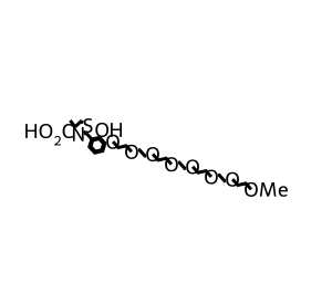 COCCOCCOCCOCCOCCOCCOCCOc1cccc(C2=N[C@@](C)(C(=O)O)CS2)c1O